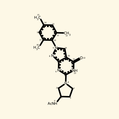 CC(=O)NC1CCN(c2nc3nn(-c4c(C)cc(C)cc4C)cc3c(=O)[nH]2)C1